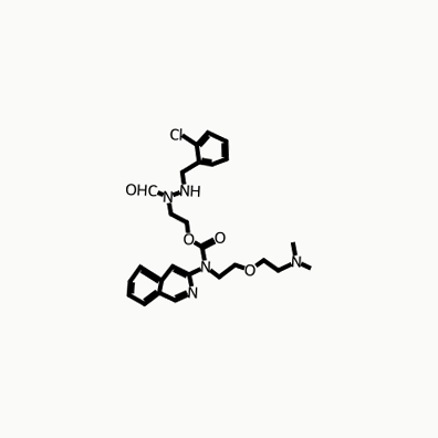 CN(C)CCOCCN(C(=O)OCCN(C=O)NCc1ccccc1Cl)c1cc2ccccc2cn1